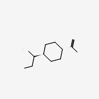 CC(CF)[C@H]1CC[C@H](C(=O)O)CC1